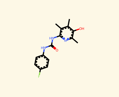 Cc1nc(NC(=O)Nc2ccc(F)cc2)c(C)c(C)c1O